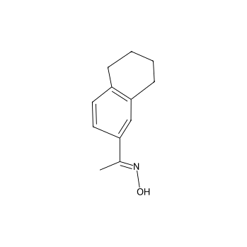 CC(=NO)c1ccc2c(c1)CCCC2